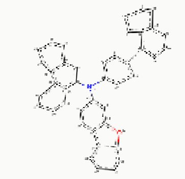 c1ccc2c(-c3ccc(N(c4ccc5c(c4)oc4ccccc45)c4cc5ccccc5c5ccccc45)cc3)cccc2c1